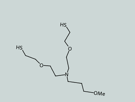 COCCCN(CCOCCS)CCOCCS